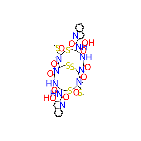 CSC[C@H]1C(=O)SCC(NC(=O)c2nc3ccccc3cc2O)C(=O)NCC(=O)N(C)C2CSSCC(C(=O)N1C)N(C)C(=O)CNC(=O)C(NC(=O)c1nc3ccccc3cc1O)CSC(=O)[C@H](CSC)N(C)C2=O